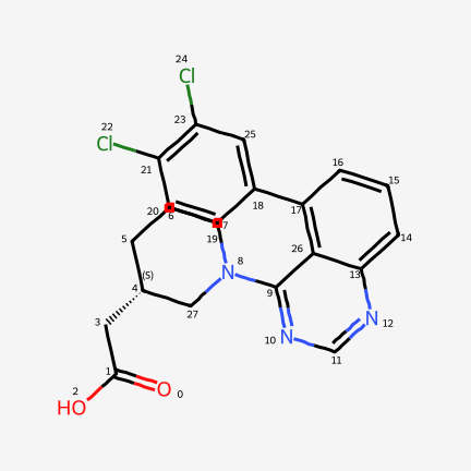 O=C(O)C[C@@H]1CCCN(c2ncnc3cccc(-c4ccc(Cl)c(Cl)c4)c23)C1